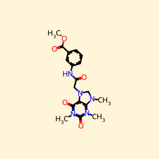 COC(=O)c1cccc(NC(=O)CN2CN(C)c3c2c(=O)n(C)c(=O)n3C)c1